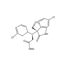 C=C[C@]1([C@@H](CC(=O)NC)C2C=CC=C(Cl)C2)C(=O)Nc2cc(Cl)ccc21